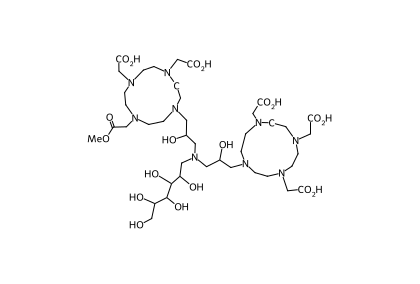 COC(=O)CN1CCN(CC(=O)O)CCN(CC(=O)O)CCN(CC(O)CN(CC(O)CN2CCN(CC(=O)O)CCN(CC(=O)O)CCN(CC(=O)O)CC2)CC(O)C(O)C(O)C(O)CO)CC1